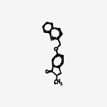 CC1Cc2ccc(OCc3ccc4ccccc4n3)cc2C1=O